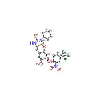 COc1cc(C=C2NC(=S)N(c3ccccc3)C2=O)ccc1Oc1ccc(C(F)(F)F)cc1[N+](=O)[O-]